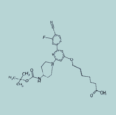 CC(C)(C)OC(=O)NC1CCN(c2cc(OCCCCCCC(=O)O)cc(-c3ccc(C#N)c(F)c3)n2)CC1